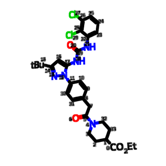 CCOC(=O)C1CCN(C(=O)Cc2ccc(-n3nc(C(C)(C)C)cc3NC(=O)Nc3cccc(Cl)c3Cl)cc2)CC1